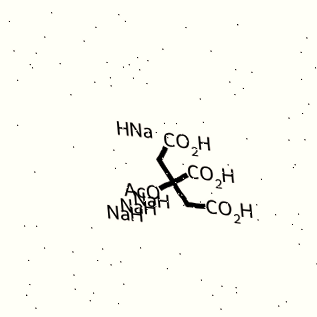 CC(=O)OC(CC(=O)O)(CC(=O)O)C(=O)O.[NaH].[NaH].[NaH].[NaH]